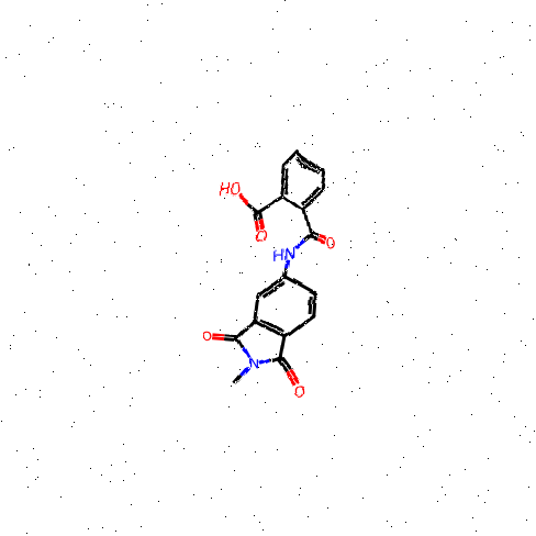 CN1C(=O)c2ccc(NC(=O)c3ccccc3C(=O)O)cc2C1=O